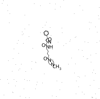 CN1CCN(C(=O)CCCCNC(=O)c2cc(-c3ccccc3)on2)CC1